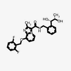 Cc1nc2c(OCc3c(F)cccc3F)cccn2c1C(=O)NCc1ccccc1[C@H](O)[C@H](C)O